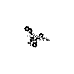 CCNC(=O)C[C@H](NC(=O)c1ccc2ccccc2n1)C(=O)N[C@@H](Cc1ccccc1)[C@H](O)C(=O)N1CCC[C@H]1C(=O)NC(C)(C)C